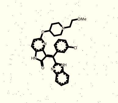 COCCN1CCC(Oc2ccc3c(n2)/C(=C(\c2cccc(Cl)c2)c2nc4ccccc4[nH]2)C(=O)N3)CC1